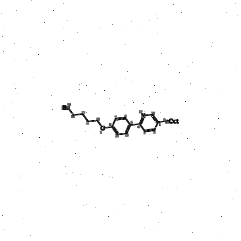 CCCCCCCCc1ccc(-c2ccc(OCCCCC(C)CC)cc2)nc1